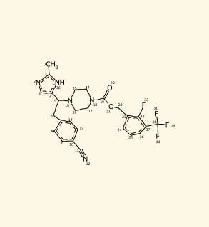 Cc1ncc(C(Cc2ccc(C#N)cc2)N2CCN(C(=O)OCc3cccc(C(F)(F)F)c3F)CC2)[nH]1